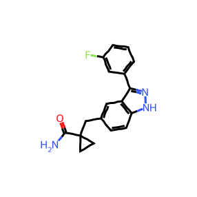 NC(=O)C1(Cc2ccc3[nH]nc(-c4cccc(F)c4)c3c2)CC1